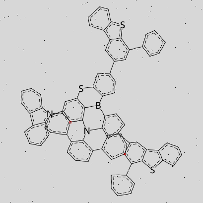 c1ccc(-c2cccc(-c3ccccc3)c2N2c3cc(-c4cc(-c5ccccc5)c5sc6ccccc6c5c4)ccc3B3c4ccc(-c5cc(-c6ccccc6)c6sc7ccccc7c6c5)cc4Sc4cc(-n5c6ccccc6c6ccccc65)cc2c43)cc1